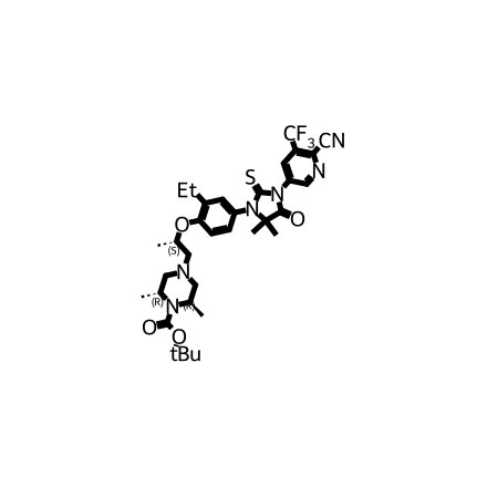 CCc1cc(N2C(=S)N(c3cnc(C#N)c(C(F)(F)F)c3)C(=O)C2(C)C)ccc1O[C@@H](C)CN1C[C@@H](C)N(C(=O)OC(C)(C)C)[C@H](C)C1